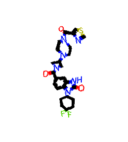 O=C(c1ccc2c(c1)[nH]c(=O)n2C1CCC(F)(F)CC1)N1CC(N2CCN(C(=O)c3cscn3)CC2)C1